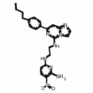 CCCCc1ccc(-c2cc3nccn3c(NCCNc3ccc([N+](=O)[O-])c(N)n3)n2)cc1